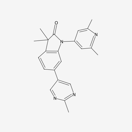 Cc1cc(N2C(=O)C(C)(C)c3ccc(-c4cnc(C)nc4)cc32)cc(C)n1